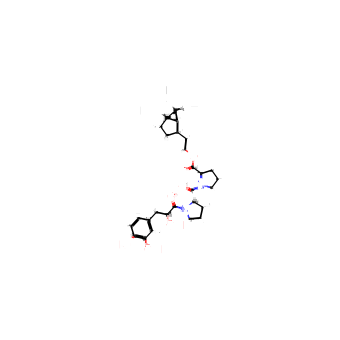 CC1(C)C2C(CCOC(=O)C3CCCN3C(=O)[C@@H]3CCCN3C(=O)[C@H](O)Cc3ccc(O)c(O)c3)CCC21C